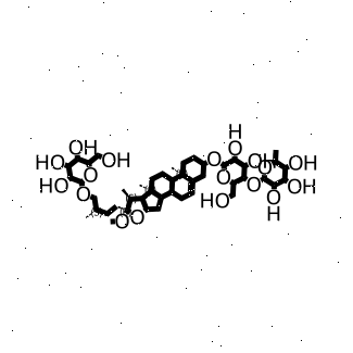 CO[C@]1(CC[C@H](C)COC2OC(CO)C(O)C(O)C2O)OC2CC3C4CC=C5CC(OC6OC(CO)C(OC7OC(C)C(O)C(O)C7O)C(O)C6O)CC[C@]5(C)C4CC[C@]3(C)C2[C@@H]1C